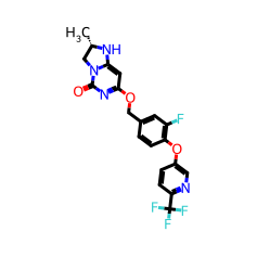 C[C@H]1Cn2c(cc(OCc3ccc(Oc4ccc(C(F)(F)F)nc4)c(F)c3)nc2=O)N1